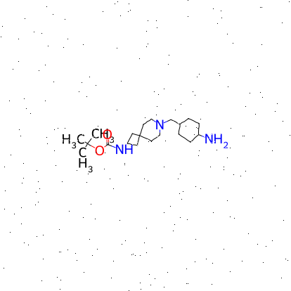 CC(C)(C)OC(=O)NC1CC2(CCN(CC3CCC(N)CC3)CC2)C1